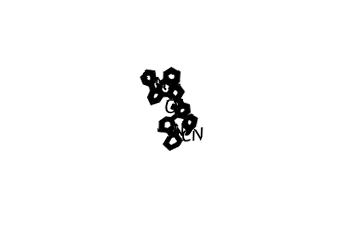 N#Cc1ccccc1-n1c2c(c3c1C(c1cccc4c1oc1c(-c5cccc6c7ccccc7n(-c7ccccc7)c56)cccc14)CC=C3)CCCC2